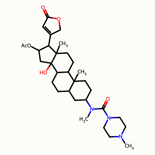 CC(=O)OC1CC2(O)C3CCC4CC(N(C)C(=O)N5CCN(C)CC5)CCC4(C)C3CCC2(C)C1C1=CC(=O)OC1